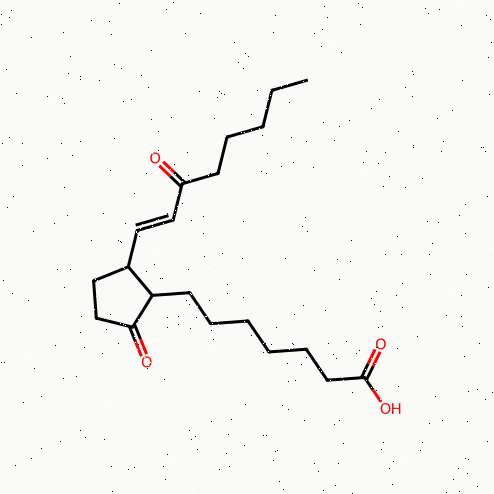 CCCCCC(=O)C=CC1CCC(=O)C1CCCCCCC(=O)O